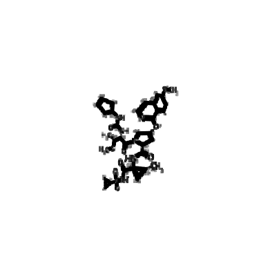 COc1ccc2c(O[C@@H]3C[C@@H](C(=O)N[C@]4(C(=O)NS(=O)(=O)C5CC5)C[C@H]4C)N(C(=O)[C@@H](NC(=O)NC4CCCC4)[C@H](C)OC)C3)nccc2c1